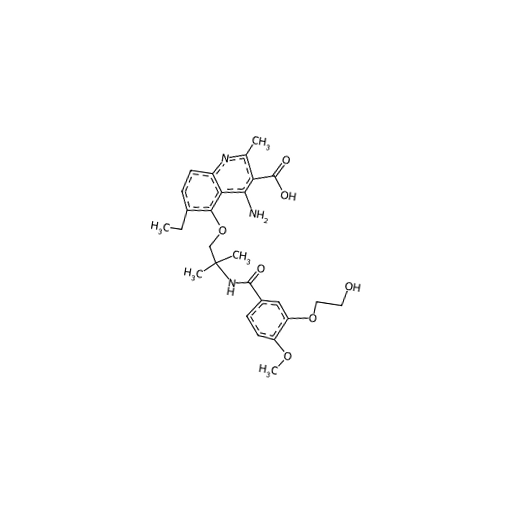 CCc1ccc2nc(C)c(C(=O)O)c(N)c2c1OCC(C)(C)NC(=O)c1ccc(OC)c(OCCO)c1